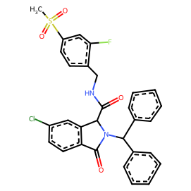 CS(=O)(=O)c1ccc(CNC(=O)C2c3cc(Cl)ccc3C(=O)N2C(c2ccccc2)c2ccccc2)c(F)c1